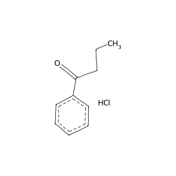 CCCC(=O)c1ccccc1.Cl